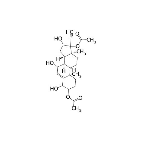 C#CC1(OC(C)=O)C(O)C[C@H]2[C@@H]3C(O)C=C4C(O)C(OC(C)=O)CC[C@]4(C)[C@@H]3CC[C@@]21C